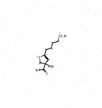 CCC(=S)C1(C#N)C=C(CCCCC(=O)O)SC1